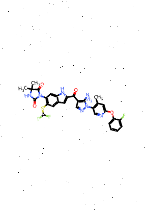 Cc1cc(Oc2ccccc2F)ncc1-n1ncc(C(=O)c2cc3cc(SC(F)F)c(N4C(=O)NC(C)(C)C4=O)cc3[nH]2)c1N